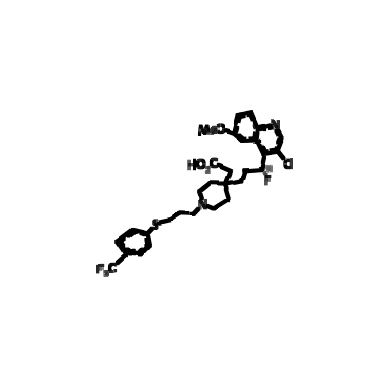 COc1ccc2ncc(Cl)c([C@H](F)CCC3(CC(=O)O)CCN(CCCSc4ccc(C(F)(F)F)cc4)CC3)c2c1